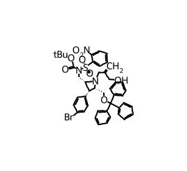 C=C(CO)CN1[C@H](COC(c2ccccc2)(c2ccccc2)c2ccccc2)[C@H](c2ccc(Br)cc2)[C@@H]1CN(C(=O)OC(C)(C)C)S(=O)(=O)c1ccccc1[N+](=O)[O-]